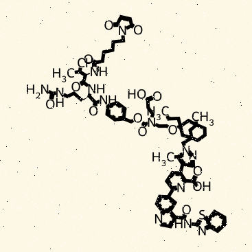 CCCC1(OCCN(CCC(=O)O)C(=O)OCc2ccc(NC(=O)[C@H](CCCNC(N)=O)NC(=O)[C@@H](NC(=O)CCCCCN3C(=O)C=CC3=O)C(C)C)cc2)CC2(C)CCCC(Cn3ncc(-c4ccc(-c5ccc6nccc(C(=O)Nc7nc8ccccc8s7)c6c5)nc4C(=O)O)c3C)(C2)C1